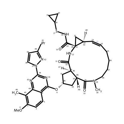 COc1ccc2c(O[C@@H]3C[C@H]4C(=O)N[C@]5(C(=O)NSC6CC6)C[C@H]5/C=C\CCCCN(C)C(=O)[C@@H]4C3)nc(-n3ccc(C(C)C)n3)nc2c1C